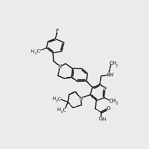 CNCc1nc(C)c(CC(=O)O)c(N2CCC(C)(C)CC2)c1-c1ccc2c(c1)CCN(Cc1ccc(F)cc1C)C2